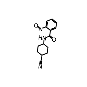 N#C[C@H]1CC[C@@H](NC(=O)c2ccccc2N=O)CC1